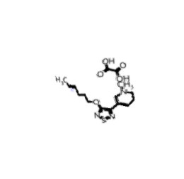 C/C=C/CCCOc1nsnc1C1=CCCN(C)C1.O=C(O)C(=O)O